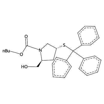 CCCCOC(=O)N1C[C@H](SC(c2ccccc2)(c2ccccc2)c2ccccc2)C[C@H]1CO